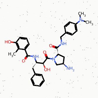 Cc1c(O)cccc1C(=O)N[C@@H](Cc1ccccc1)[C@H](O)C(=O)N1C[C@H](N)C[C@H]1C(=O)NCc1ccc(N(C)C)cc1